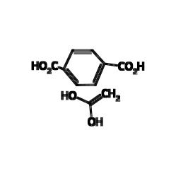 C=C(O)O.O=C(O)c1ccc(C(=O)O)cc1